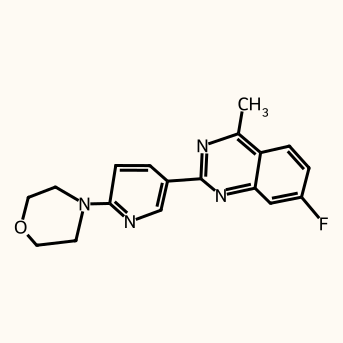 Cc1nc(-c2ccc(N3CCOCC3)nc2)nc2cc(F)ccc12